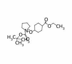 CCOC(=O)C1CCC(O[N+]2(C(=O)OC(C)(C)C)CCCC2)CC1